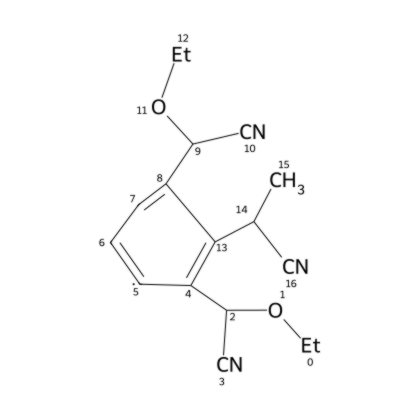 CCOC(C#N)c1[c]ccc(C(C#N)OCC)c1C(C)C#N